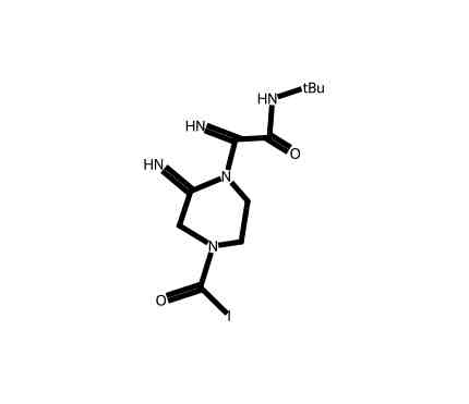 CC(C)(C)NC(=O)C(=N)N1CCN(C(=O)I)CC1=N